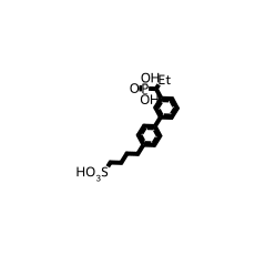 CCC(c1cccc(-c2ccc(CCCCS(=O)(=O)O)cc2)c1)P(=O)(O)O